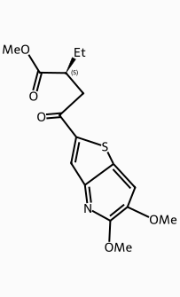 CC[C@@H](CC(=O)c1cc2nc(OC)c(OC)cc2s1)C(=O)OC